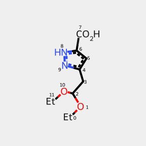 CCOC(Cc1cc(C(=O)O)[nH]n1)OCC